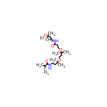 C=C(C)C(=O)NCCC(C)(C)OCCC(C)(C)OCCC(=O)NCCC(C)(C)OCC